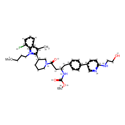 COCCCn1c([C@@H]2CCCN(C(=O)C[C@@H](Cc3ccc(-c4ccc(NCCO)nc4)cc3)NC(=O)OC(C)(C)C)C2)c(C)c2cccc(F)c21